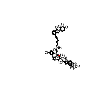 CC(C)(C)C(NC(=O)c1cc2cc(C(F)(F)P(=O)(O)O)ccc2s1)C(=O)N1CCC[C@H]1C(=O)N(CC(=O)NCCCCC#Cc1cccc2c1CN(C1CCC(=O)NC1=O)C2=O)c1ccc(Cl)cc1